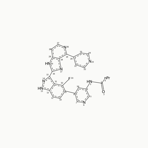 CCCC(=O)Nc1cncc(-c2ccc3[nH]nc(-c4nc5c(-c6ccncc6)nccc5[nH]4)c3c2F)c1